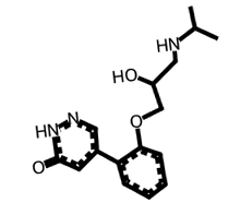 CC(C)NCC(O)COc1ccccc1-c1cn[nH]c(=O)c1